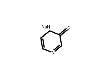 S=C1C=NC=CC1.[NaH]